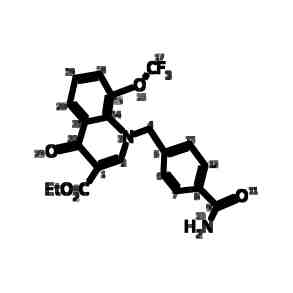 CCOC(=O)c1cn(Cc2ccc(C(N)=O)cc2)c2c(OC(F)(F)F)cccc2c1=O